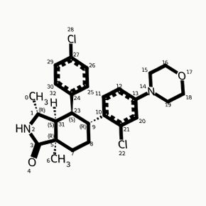 C[C@H]1NC(=O)[C@]2(C)CC[C@@H](c3ccc(N4CCOCC4)cc3Cl)[C@H](c3ccc(Cl)cc3)[C@H]12